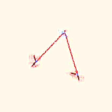 CC(=O)[C@H](CCCNC(=O)CCOCCOCCOCCOCCOCCOCCOCCOCCOCCOCCOCCOCCN(C[C@H](O)[C@@H](O)[C@H](O)[C@H](O)CO)C[C@H](O)[C@@H](O)[C@H](O)[C@H](O)CO)NC(=O)CCOCCOCCOCCOCCOCCOCCOCCOCCOCCOCCOCCOCCN(C[C@H](O)[C@@H](O)[C@H](O)[C@H](O)CO)C[C@H](O)[C@@H](O)[C@H](O)[C@H](O)CO